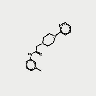 Cc1cccc(NC(=S)CN2CCN(c3ccccn3)CC2)c1